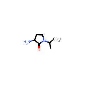 CC(C(=O)O)N1CC[C@H](N)C1=O